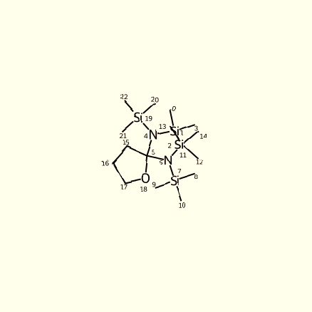 C[Si](C)(C)N(C1(N([Si](C)(C)C)[Si](C)(C)C)CCCO1)[Si](C)(C)C